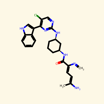 C=N/C(=C\C=C(/C)N)C(=O)N[C@H]1CCC[C@@H](Nc2ncc(Cl)c(-c3c[nH]c4ccccc34)n2)C1